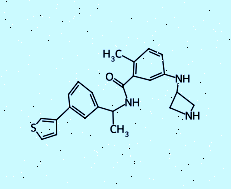 Cc1ccc(NC2CNC2)cc1C(=O)NC(C)c1cccc(-c2ccsc2)c1